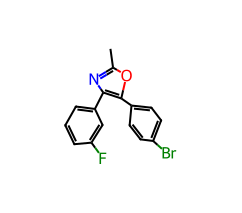 Cc1nc(-c2cccc(F)c2)c(-c2ccc(Br)cc2)o1